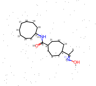 C/C(=N\O)C1CCCC(C(=O)NC2CCCCCCCC2)CCC1